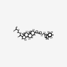 CC(C)CCCC(C)C1CCC2C3CCC4CC(OCOCCn5cnc6ccccc65)CCC4(C)C3CCC12C